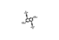 CC(C)(C)c1cc(C#C[Si](C)(C)C)c2cc(C(C)(C)C)cc(C#C[Si](C)(C)C)c2c1